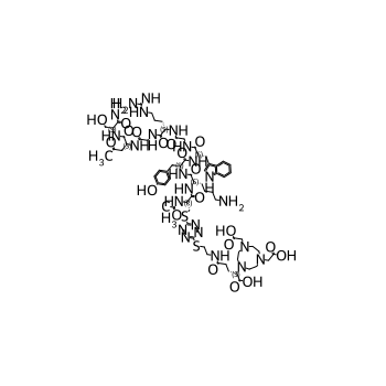 CC(=O)C[C@H](NC(=O)CNC(=O)[C@H](CCCNC(=N)N)NC(=O)CNC(=O)[C@H](Cc1c[nH]c2ccccc12)NC(=O)[C@H](Cc1ccc(O)cc1)NC(=O)[C@H](CCCCN)NC(=O)[C@H](CSc1nnc(SCCNC(=O)CC[C@@H](C(=O)O)N2CCN(CC(=O)O)CCN(CC(=O)O)CC2)nn1)NC(C)=O)C(=O)N[C@@H](CO)C(N)=O